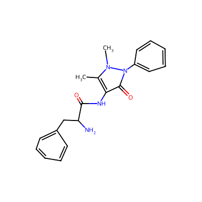 Cc1c(NC(=O)C(N)Cc2ccccc2)c(=O)n(-c2ccccc2)n1C